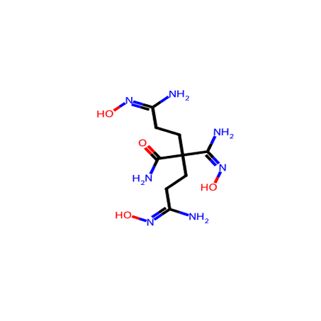 NC(=O)C(CC/C(N)=N\O)(CC/C(N)=N\O)/C(N)=N\O